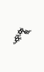 Cn1cc(-n2ncc3ccc(OC4CCc5cc(Br)cc(F)c54)cc32)cn1